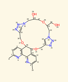 Cc1ccc2c(n1)-c1nc(C)ccc1C1OCc3cn(nn3)CC(CO)OCC(O)Cn3cc(nn3)COC21